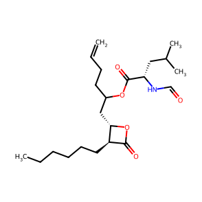 C=CCCC(C[C@@H]1OC(=O)[C@H]1CCCCCC)OC(=O)[C@H](CC(C)C)NC=O